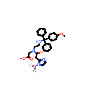 COc1ccc(C(NCCN(CC(=O)O)C(=O)Cc2nccn2[N+](=O)[O-])(c2ccccc2)c2ccccc2)cc1